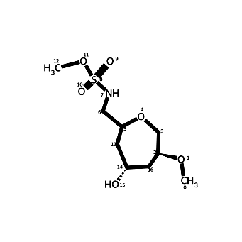 CO[C@@H]1COC(CNS(=O)(=O)OC)C[C@@H](O)C1